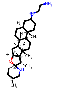 C[C@H]1CC[C@]2(NC1)O[C@H]1C[C@H]3[C@@H]4CC[C@H]5CC(NCCN)CC[C@]5(C)[C@H]4CC[C@]3(C)[C@H]1[C@@H]2C